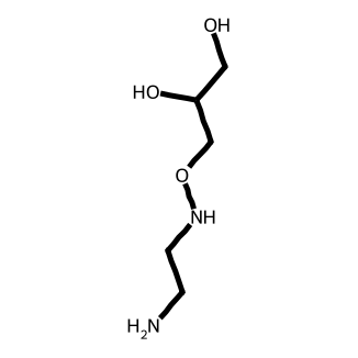 NCCNOCC(O)CO